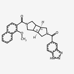 COc1c(C(=O)N2CC3C(C2)[C@@H]2CN(C(=O)c4ccc5[nH]nnc5c4)C[C@H]32)ccc2ccccc12